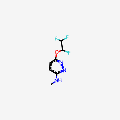 CNc1ccc(OC(F)C(F)F)nn1